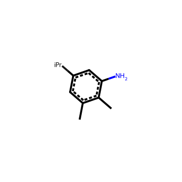 Cc1cc(C(C)C)cc(N)c1C